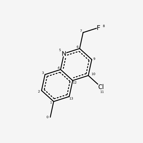 Cc1ccc2nc(CF)cc(Cl)c2c1